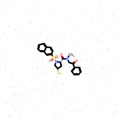 CN(CC(=O)c1ccccc1)C(=O)[C@@H]1C[C@@H](S)CN1S(=O)(=O)c1ccc2ccccc2c1